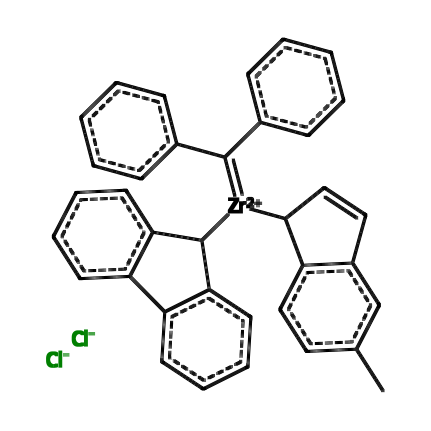 Cc1ccc2c(c1)C=C[CH]2[Zr+2](=[C](c1ccccc1)c1ccccc1)[CH]1c2ccccc2-c2ccccc21.[Cl-].[Cl-]